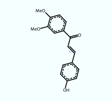 COc1ccc(C(=O)/C=C/c2ccc(O)cc2)cc1OC